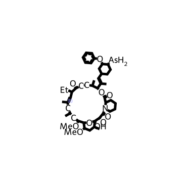 CCC1/C=C(\C)CC(C)CC(OC)C2OC(O)(C(=O)C(=O)N3CCCCC3C(=O)OC(C(C)=CC3CCC([AsH2])C(Oc4ccccc4)C3)C(C)CCC1=O)C(C)CC2OC